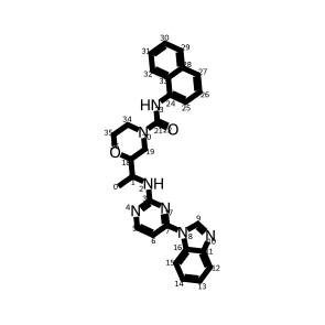 CC(Nc1nccc(-n2cnc3ccccc32)n1)C1CN(C(=O)Nc2cccc3ccccc23)CCO1